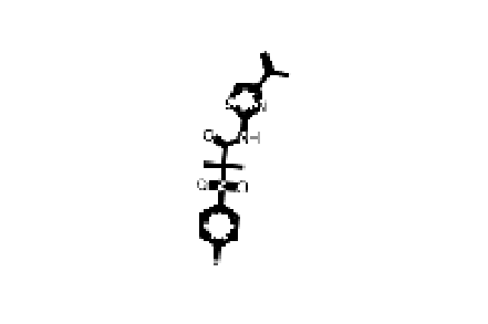 C=C(C)c1csc(NC(=O)C(C)(C)S(=O)(=O)c2ccc(F)cc2)n1